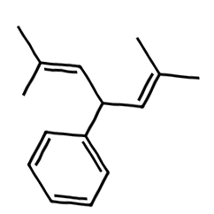 CC(C)=CC(C=C(C)C)c1ccccc1